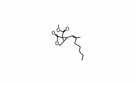 CCCCCC(C)=CC1C2COC(=O)C12C(=O)OC